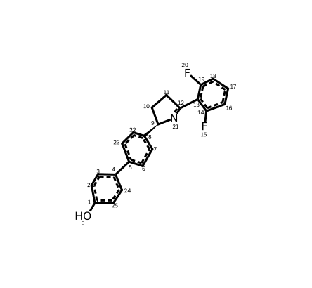 Oc1ccc(-c2ccc([C@H]3CCC(c4c(F)cccc4F)=N3)cc2)cc1